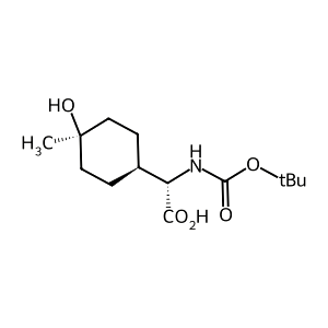 CC(C)(C)OC(=O)N[C@H](C(=O)O)[C@H]1CC[C@@](C)(O)CC1